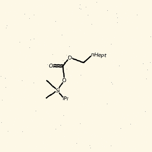 CCCCCCCCOC(=O)O[Si](C)(C)C(C)C